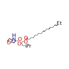 CC/C=C/C/C=C/C/C=C/CCCCCCCC(=O)OCC(CC(C)C)OC(=O)c1cc2occc2[nH]1